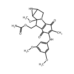 COc1cc(NC2=C(C)C(=O)C3=C(C2=O)C(COC(N)=O)C2(OC)C4NC4CN32)cc(OC)c1